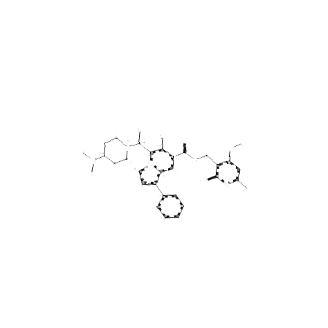 COc1cc(C)[nH]c(=O)c1CNC(=O)c1cc2c(-c3ccccc3)ccn2c(C(C)N2CCC(N(C)C)CC2)c1C